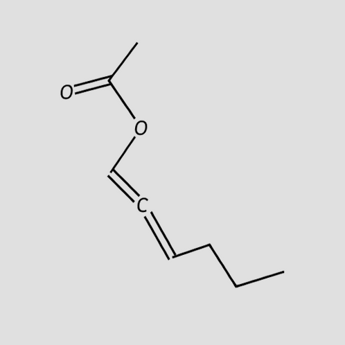 CCCC=C=COC(C)=O